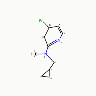 BN(CC1CC1)C1=NC=CC(Br)C1